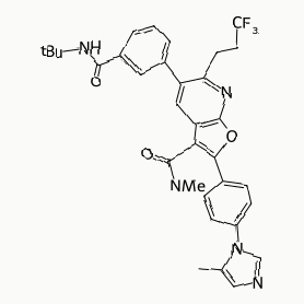 CNC(=O)c1c(-c2ccc(-n3cncc3C)cc2)oc2nc(CCC(F)(F)F)c(-c3cccc(C(=O)NC(C)(C)C)c3)cc12